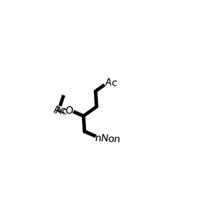 CC(C)=O.CCCCCCCCCCC(CCC(C)=O)OC(C)=O